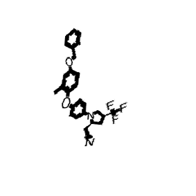 Cc1cc(OCc2ccccc2)ccc1Oc1ccc(N2C[C@@H](C(F)(F)F)C[C@H]2CC#N)cc1